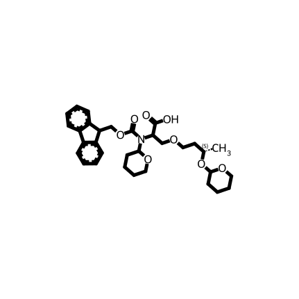 C[C@@H](CCOCC(C(=O)O)N(C(=O)OCC1c2ccccc2-c2ccccc21)C1CCCCO1)OC1CCCCO1